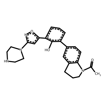 CC(=O)N1CCCc2cc(-c3cccc(-c4cc(N5CCNCC5)no4)c3O)ccc21